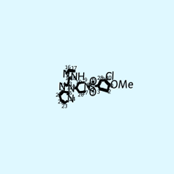 COc1ccc(S(=O)(=O)N2CCC(n3c(-c4ncc[nH]4)nc4cccnc43)CC2)cc1Cl